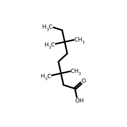 CCC(C)(C)CCC(C)(C)CC(=O)O